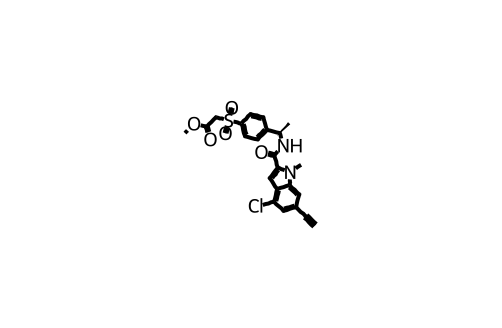 C#Cc1cc(Cl)c2cc(C(=O)N[C@H](C)c3ccc(S(=O)(=O)CC(=O)OC)cc3)n(C)c2c1